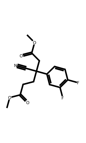 COC(=O)CCC(C#N)(CC(=O)OC)c1ccc(F)c(F)c1